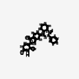 CN(Cc1ccccc1)[C@H]1CCCC[C@H]1N(C)c1ccc2c(c1)CN(C1CCC(=O)NC1=O)C2=O